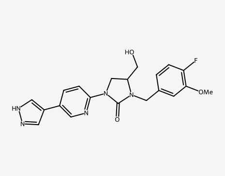 COc1cc(CN2C(=O)N(c3ccc(-c4cn[nH]c4)cn3)CC2CO)ccc1F